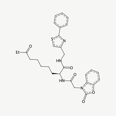 CCC(=O)CCCCC[C@H](NC(=O)Cn1c(=O)oc2ccccc21)C(=O)NCc1csc(-c2ccccc2)n1